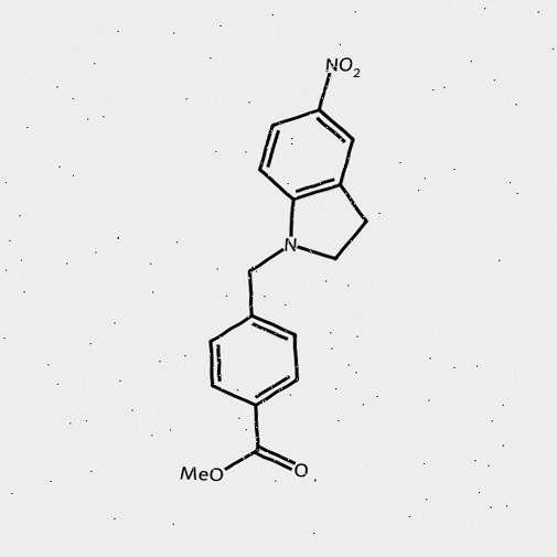 COC(=O)c1ccc(CN2CCc3cc([N+](=O)[O-])ccc32)cc1